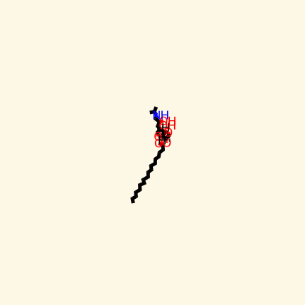 CCCCCCCCCCCCCCCCCC(=O)O[C@@H]1CO[C@H]2[C@@H]1OC[C@@]2(O)CC(O)CNC(C)C